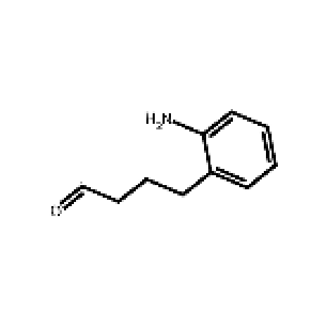 Nc1ccccc1CCC[C]=O